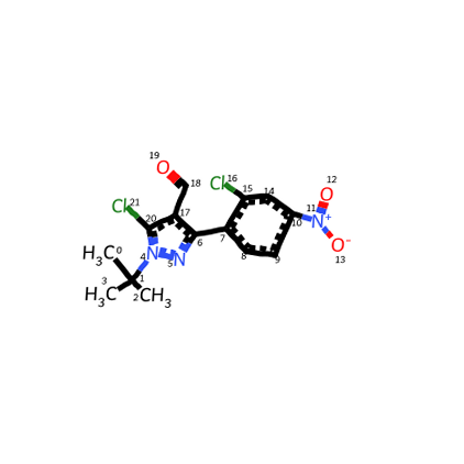 CC(C)(C)n1nc(-c2ccc([N+](=O)[O-])cc2Cl)c(C=O)c1Cl